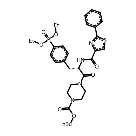 CCCCOC(=O)N1CCN(C(=O)[C@H](Cc2ccc(P(=O)(OCC)OCC)cc2)NC(=O)c2csc(-c3ccccc3)n2)CC1